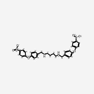 O=[N+]([O-])c1ccc(Oc2ccc(CNCCCCNCc3ccc(Oc4ccc([N+](=O)[O-])cc4)cc3)cc2)cc1